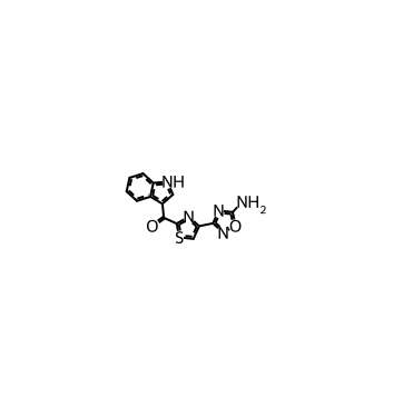 Nc1nc(-c2csc(C(=O)c3c[nH]c4ccccc34)n2)no1